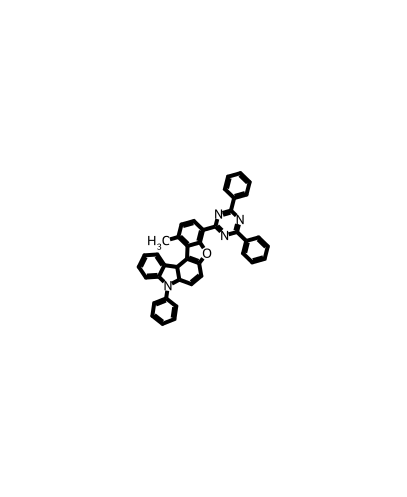 Cc1ccc(-c2nc(-c3ccccc3)nc(-c3ccccc3)n2)c2oc3c(c12)C1c2ccccc2N(c2ccccc2)C1C=C3